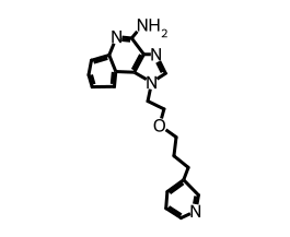 Nc1nc2ccccc2c2c1ncn2CCOCCCc1cccnc1